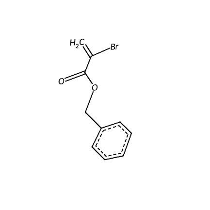 C=C(Br)C(=O)OCc1ccccc1